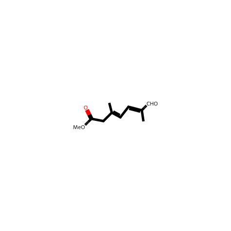 COC(=O)C/C(C)=C/C=C(\C)C=O